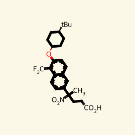 CC(CCC(=O)O)(c1ccc2c(C(F)(F)F)c(O[C@H]3CC[C@H](C(C)(C)C)CC3)ccc2c1)[N+](=O)[O-]